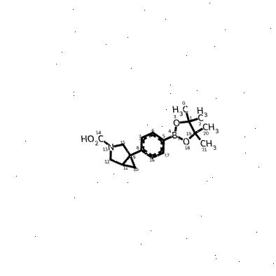 CC1(C)OB(c2ccc(C34CC3CN(C(=O)O)C4)cc2)OC1(C)C